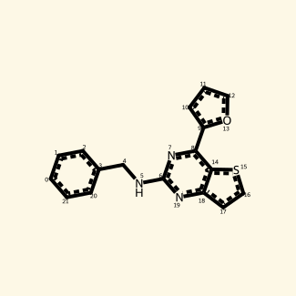 c1ccc(CNc2nc(-c3ccco3)c3sccc3n2)cc1